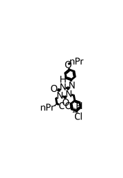 CCCOc1ccc(/N=c2\[nH]c(=O)n(C[C@H](CCC)C(=O)O)c(=O)n2Cc2ccc(Cl)cc2)cc1